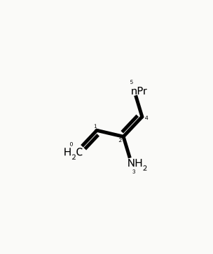 C=C/C(N)=C\CCC